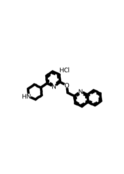 Cl.c1cc(OCc2ccc3ccccc3n2)nc(C2CCNCC2)c1